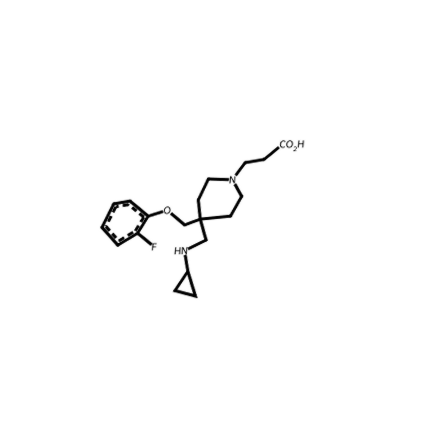 O=C(O)CCN1CCC(CNC2CC2)(COc2ccccc2F)CC1